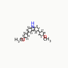 COc1ccc(-c2ccc3[nH]c4ccc(-c5ccc(OC)cc5)cc4c3c2)cc1